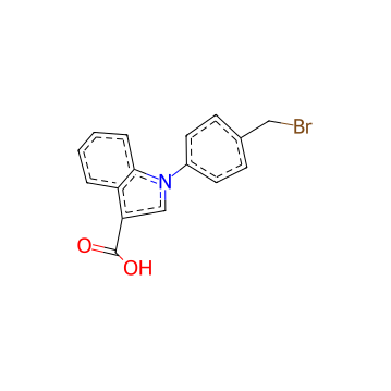 O=C(O)c1cn(-c2ccc(CBr)cc2)c2ccccc12